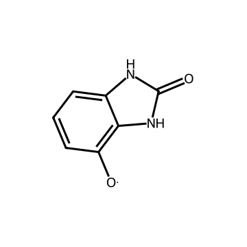 [O]c1cccc2[nH]c(=O)[nH]c12